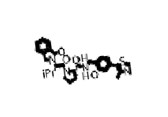 Cc1ncsc1-c1ccc(CNC(=O)[C@@H]2CCCN2C(=O)[C@H](C(C)C)N2Cc3ccccc3C2=O)c(O)c1